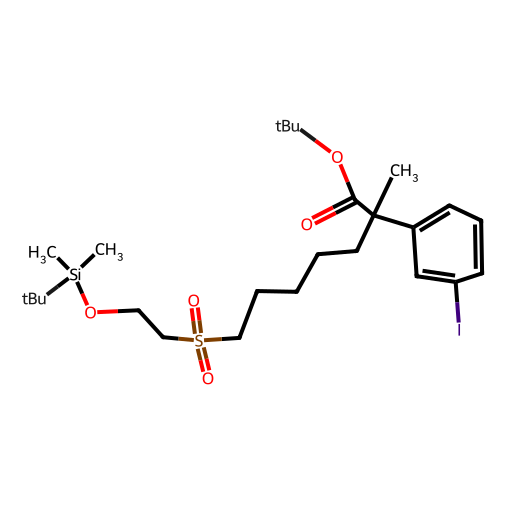 CC(C)(C)OC(=O)C(C)(CCCCCS(=O)(=O)CCO[Si](C)(C)C(C)(C)C)c1cccc(I)c1